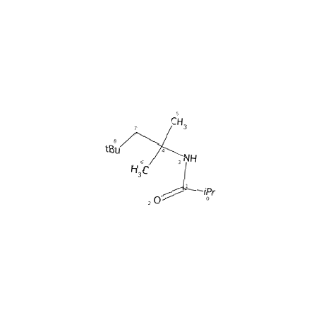 CC(C)C(=O)NC(C)(C)CC(C)(C)C